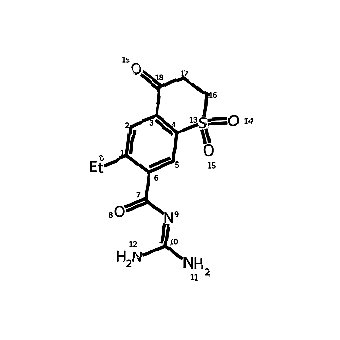 CCc1cc2c(cc1C(=O)N=C(N)N)S(=O)(=O)CCC2=O